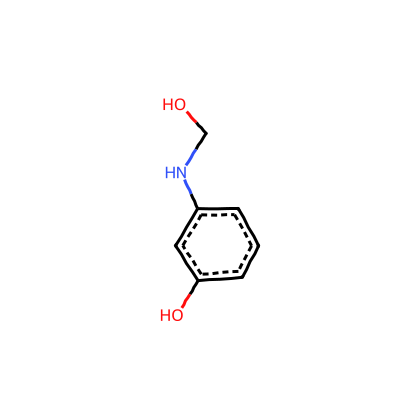 OCNc1cccc(O)c1